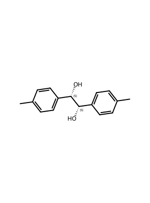 Cc1ccc([C@H](O)[C@@H](O)c2ccc(C)cc2)cc1